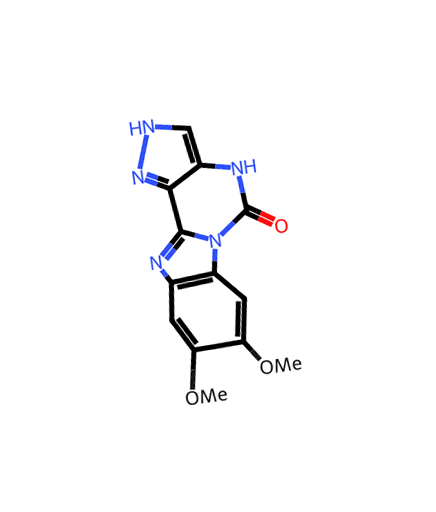 COc1cc2nc3c4n[nH]cc4[nH]c(=O)n3c2cc1OC